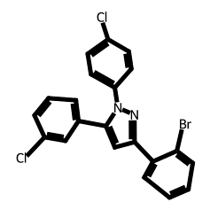 Clc1ccc(-n2nc(-c3ccccc3Br)cc2-c2cccc(Cl)c2)cc1